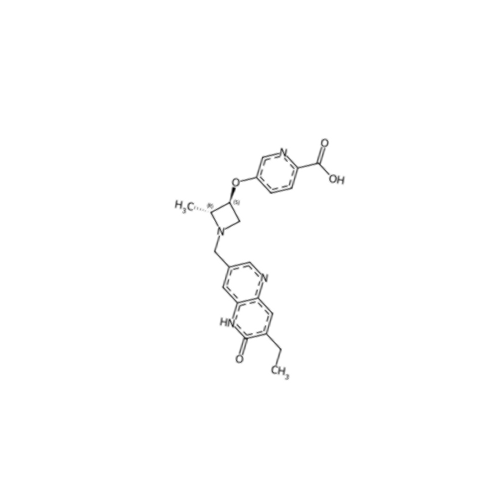 CCc1cc2ncc(CN3C[C@H](Oc4ccc(C(=O)O)nc4)[C@H]3C)cc2[nH]c1=O